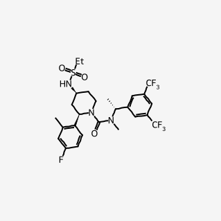 CCS(=O)(=O)N[C@H]1CCN(C(=O)N(C)[C@H](C)c2cc(C(F)(F)F)cc(C(F)(F)F)c2)[C@@H](c2ccc(F)cc2C)C1